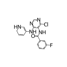 O=C(Nc1c(Cl)ncnc1NC1=CNCC=C1)c1cccc(F)c1